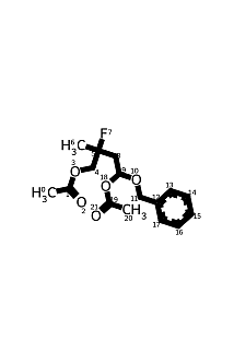 CC(=O)OCC(C)(F)CC(OCc1ccccc1)OC(C)=O